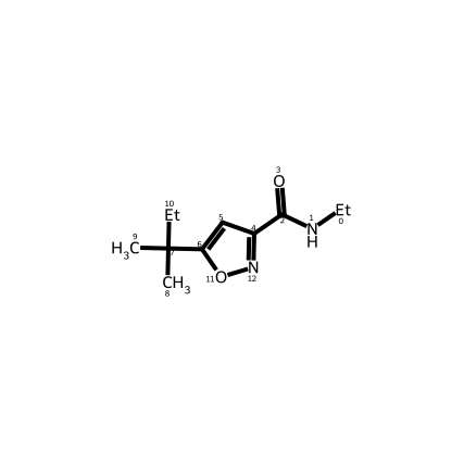 CCNC(=O)c1cc(C(C)(C)CC)on1